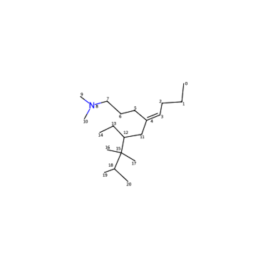 CCC/C=C(\CCCN(C)C)CC(CC)C(C)(C)C(C)C